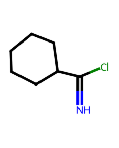 N=C(Cl)C1CCCCC1